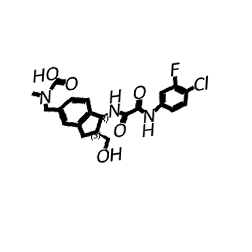 CN(Cc1ccc2c(c1)C[C@H](CO)[C@H]2NC(=O)C(=O)Nc1ccc(Cl)c(F)c1)C(=O)O